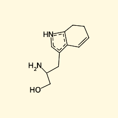 NC(CO)Cc1c[nH]c2c1C=CCC2